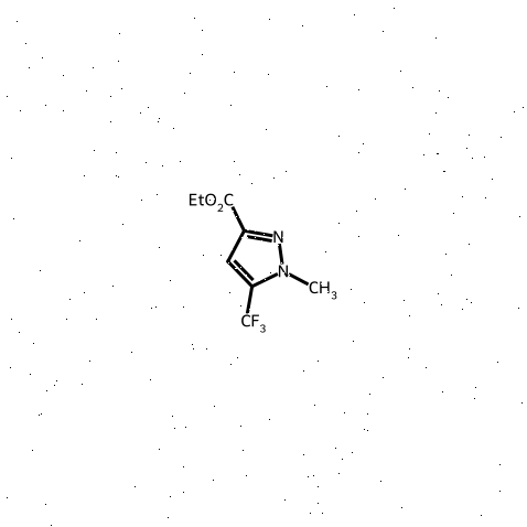 CCOC(=O)c1cc(C(F)(F)F)n(C)n1